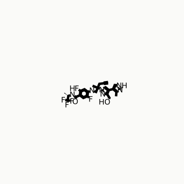 C#CCC1(n2cc(-c3c[nH]nc3C)c(CO)n2)CN(c2cc(F)c(C(=O)N[C@@H](C)C(F)(F)F)cc2F)C1